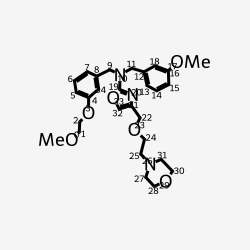 COCCOc1cccc(CN(Cc2cccc(OC)c2)c2nc(COCCN3CCOCC3)co2)c1